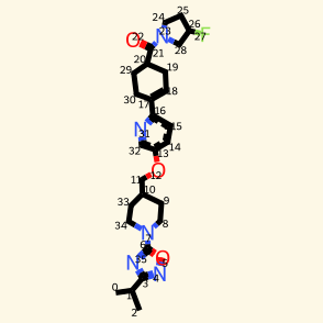 CC(C)c1noc(N2CCC(COc3ccc(C4=CCC(C(=O)N5CCC(F)C5)CC4)nc3)CC2)n1